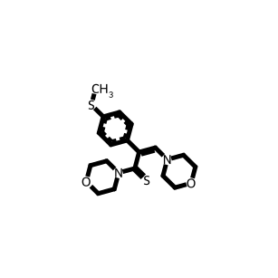 CSc1ccc(/C(=C/N2CCOCC2)C(=S)N2CCOCC2)cc1